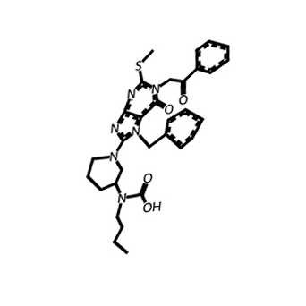 CCCCN(C(=O)O)C1CCCN(c2nc3nc(SC)n(CC(=O)c4ccccc4)c(=O)c3n2Cc2ccccc2)C1